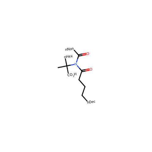 CCCCCCCCCCCCCC(=O)N(C(=O)CCCCCCCCC)C(C)(CCCCCC)C(=O)O